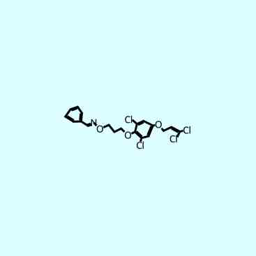 ClC(Cl)=CCOc1cc(Cl)c(OCCCO/N=C/c2ccccc2)c(Cl)c1